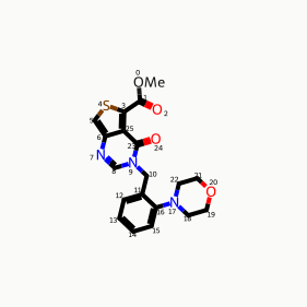 COC(=O)c1scc2ncn(Cc3ccccc3N3CCOCC3)c(=O)c12